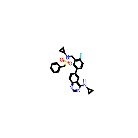 O=S(=O)(Cc1ccccc1)N(Cc1cc(-c2ccc3ncnc(NC4CC4)c3c2)ccc1F)C1CC1